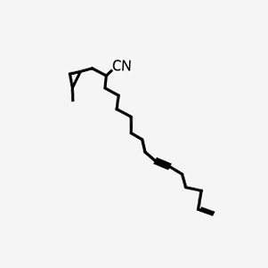 C=CCCCC#CCCCCCCCC(C#N)CC1CC1C